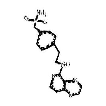 NS(=O)(=O)Cc1ccc(CCNc2nccc3nccnc23)cc1